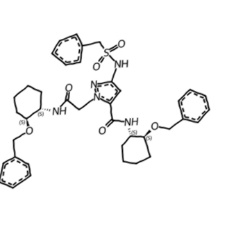 O=C(Cn1nc(NS(=O)(=O)Cc2ccccc2)cc1C(=O)N[C@H]1CCCC[C@@H]1OCc1ccccc1)N[C@H]1CCCC[C@@H]1OCc1ccccc1